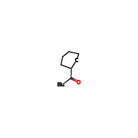 CCC(C)C(=O)C1CCCCC1